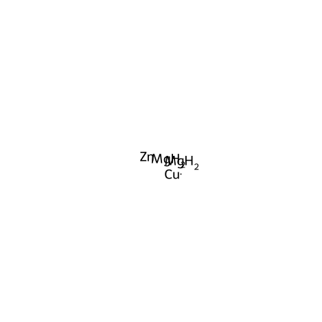 [Cu].[MgH2].[MgH2].[Zn]